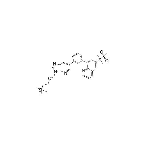 CC(C)(c1cc(-c2cccc(-c3cnc4c(c3)ncn4COCC[Si](C)(C)C)c2)c2ncccc2c1)S(C)(=O)=O